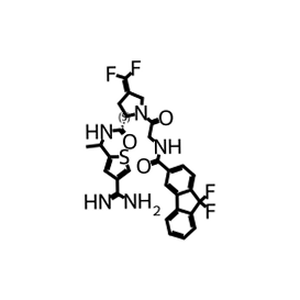 CC(NC(=O)[C@@H]1CC(=C(F)F)CN1C(=O)CNC(=O)c1ccc2c(c1)-c1ccccc1C2(F)F)c1cc(C(=N)N)cs1